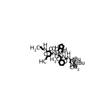 C#CCCC(NC(=O)[C@@H]1[C@H]2CCC[C@H]2CN1C(=O)[C@@H](NC(=O)N[C@H](CN(C)S(=O)(=O)C(C)(C)C)C(C)(C)C)C1(C)CCCCC1)C(=O)C(=O)NCC=C